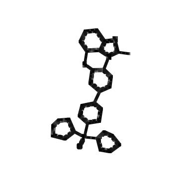 Cc1nc2cccc3c2n1-c1ccc(-c2ccc(P(=O)(c4ccccc4)c4ccccc4)cc2)cc1S3